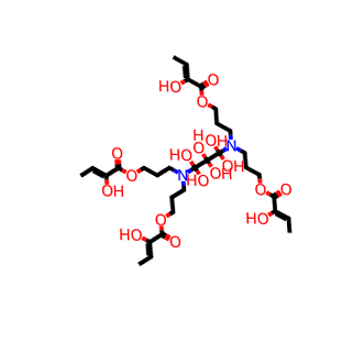 CC=C(O)C(=O)OCCCN(CCCOC(=O)C(O)=CC)C(O)(O)C(O)(O)C(O)(O)N(CCCOC(=O)C(O)=CC)CCCOC(=O)C(O)=CC